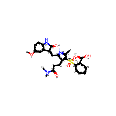 COc1ccc2c(c1)/C(=C/c1[nH]c(C)c(S(=O)(=O)c3ccccc3C(=O)O)c1CCC(=O)N(C)C)C(=O)N2